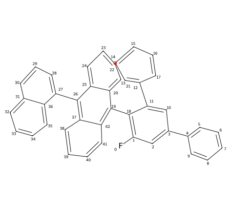 Fc1cc(-c2ccccc2)cc(-c2ccccc2)c1-c1c2ccccc2c(-c2cccc3ccccc23)c2ccccc12